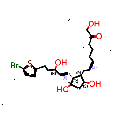 O=C(CO)CCC/C=C\C[C@@H]1[C@@H](/C=C/[C@H](O)CCc2ccc(Br)s2)[C@H](O)C[C@@H]1O